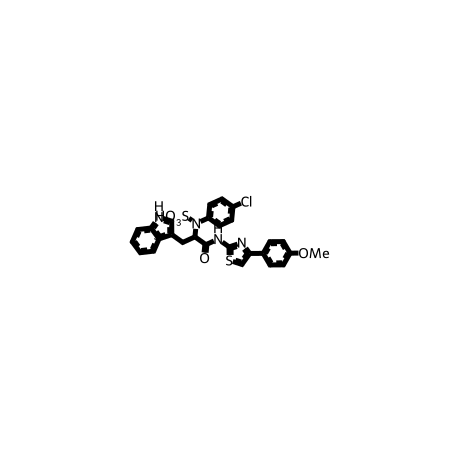 COc1ccc(-c2csc(NC(=O)C(Cc3c[nH]c4ccccc34)N(c3ccc(Cl)cc3)S(=O)(=O)O)n2)cc1